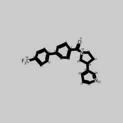 O=C(c1ccc(-c2ccc(C(F)(F)F)cc2)cc1)N1CCC(c2cccnc2)C1